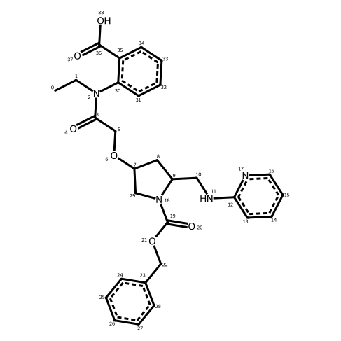 CCN(C(=O)COC1CC(CNc2ccccn2)N(C(=O)OCc2ccccc2)C1)c1ccccc1C(=O)O